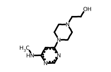 CNc1cc(N2CCN(CCO)CC2)ncn1